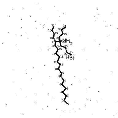 Br.CCCCCCCCCCCCCCCCC(CCCC)C(N)(CCCC)CCCC